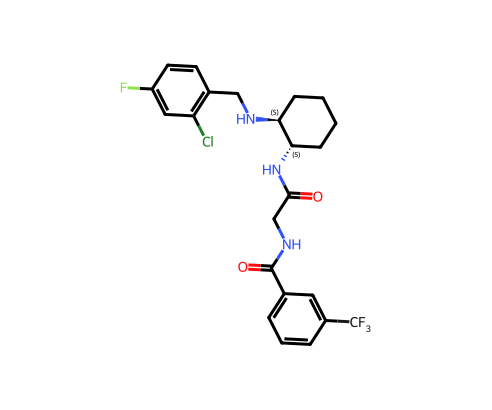 O=C(CNC(=O)c1cccc(C(F)(F)F)c1)N[C@H]1CCCC[C@@H]1NCc1ccc(F)cc1Cl